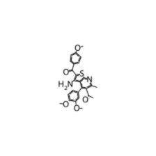 COc1ccc(C(=O)c2sc3nc(C)c(C(C)=O)c(-c4ccc(OC)c(OC)c4)c3c2N)cc1